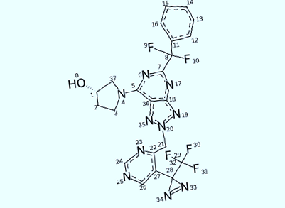 O[C@H]1CCN(c2nc(C(F)(F)c3ccccc3)nc3nn(Cc4ncncc4C4(C(F)(F)F)N=N4)nc23)C1